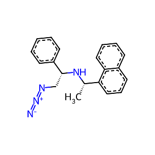 C[C@H](N[C@H](CN=[N+]=[N-])c1ccccc1)c1cccc2ccccc12